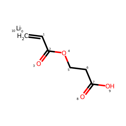 C=CC(=O)OCCC(=O)O.[Li]